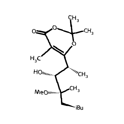 CC[C@H](C)C[C@@](C)(OC)[C@H](O)[C@@H](C)C1=C(C)C(=O)OC(C)(C)O1